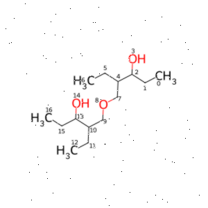 CCC(O)C(CC)COCC(CC)C(O)CC